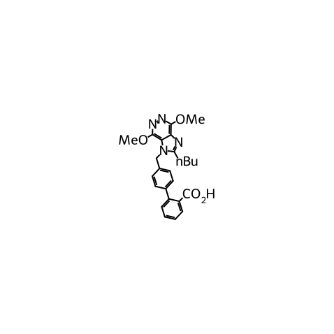 CCCCc1nc2c(OC)nnc(OC)c2n1Cc1ccc(-c2ccccc2C(=O)O)cc1